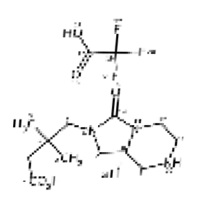 CC(C)(CC(=O)O)CN1C[C@@H]2CNCCN2C1=O.O=C(O)C(F)(F)F